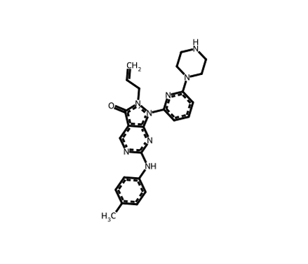 C=CCn1c(=O)c2cnc(Nc3ccc(C)cc3)nc2n1-c1cccc(N2CCNCC2)n1